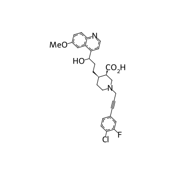 COc1ccc2nccc(C(O)CC[C@@H]3CCN(CC#Cc4ccc(Cl)c(F)c4)C[C@@H]3C(=O)O)c2c1